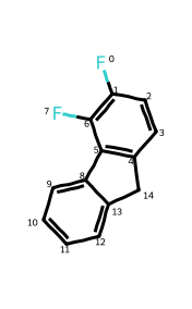 Fc1ccc2c(c1F)-c1ccccc1C2